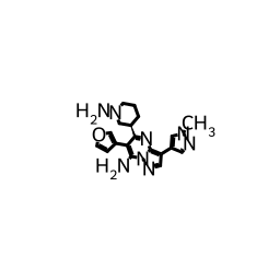 Cn1cc(-c2cnn3c(N)c(-c4ccoc4)c([C@@H]4CCCN(N)C4)nc23)cn1